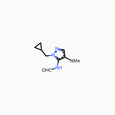 CNc1cnn(CC2CC2)c1NC=O